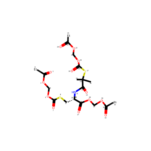 CCC(=O)OCOC(=O)SC[C@H](NC(=O)C(C)(C)SC(=O)OCOC(=O)CC)C(=O)OCOC(=O)C(C)C